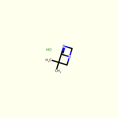 CC1(C)CN2CN=C21.Cl